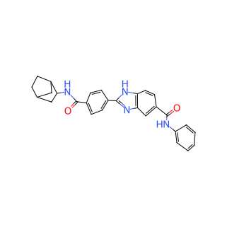 O=C(Nc1ccccc1)c1ccc2[nH]c(-c3ccc(C(=O)NC4CC5CCC4C5)cc3)nc2c1